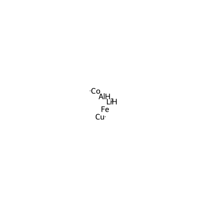 [AlH3].[Co].[Cu].[Fe].[LiH]